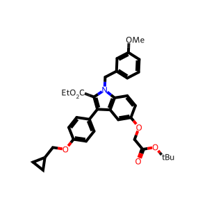 CCOC(=O)c1c(-c2ccc(OCC3CC3)cc2)c2cc(OCC(=O)OC(C)(C)C)ccc2n1Cc1cccc(OC)c1